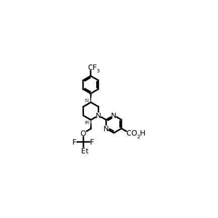 CCC(F)(F)OC[C@H]1CC[C@@H](c2ccc(C(F)(F)F)cc2)CN1c1ncc(C(=O)O)cn1